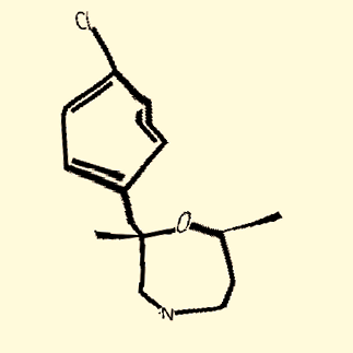 C[C@H]1C[N]C[C@](C)(c2ccc(Cl)cc2)O1